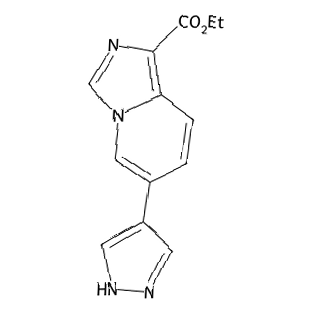 CCOC(=O)c1ncn2cc(-c3cn[nH]c3)ccc12